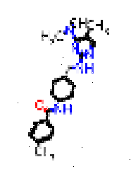 Cc1cnc(NC[C@H]2CC[C@@H](NC(=O)c3ccc(C(F)(F)F)cc3)CC2)nc1N(C)C